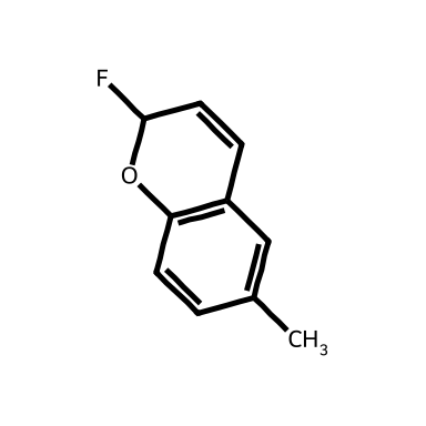 Cc1ccc2c(c1)C=CC(F)O2